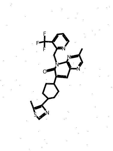 Cc1cnc2cc(C3CCC(c4ncsc4C)CC3)c(=O)n(Cc3ncccc3C(F)(F)F)c2n1